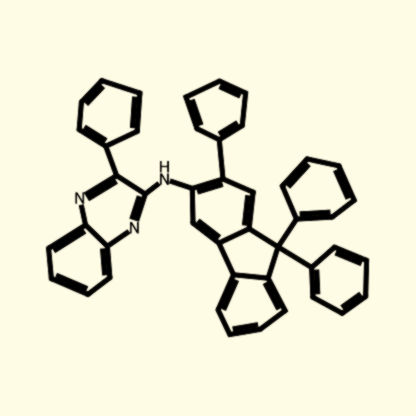 c1ccc(-c2cc3c(cc2Nc2nc4ccccc4nc2-c2ccccc2)-c2ccccc2C3(c2ccccc2)c2ccccc2)cc1